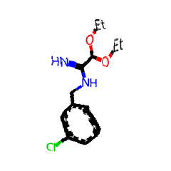 CCOC(OCC)C(=N)NCc1cccc(Cl)c1